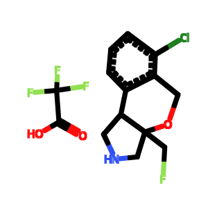 FCC12CNCC1c1cccc(Cl)c1CO2.O=C(O)C(F)(F)F